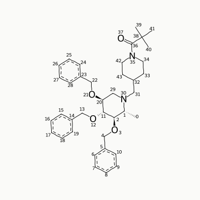 C[C@@H]1[C@@H](OCc2ccccc2)[C@H](OCc2ccccc2)[C@@H](OCc2ccccc2)CN1CC1CCN(C(=O)C(C)(C)C)CC1